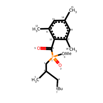 COP(=O)(CC(C)CC(C)(C)C)C(=O)c1c(C)cc(C)cc1C